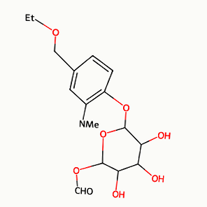 CCOCc1ccc(OC2OC(OC=O)C(O)C(O)C2O)c(NC)c1